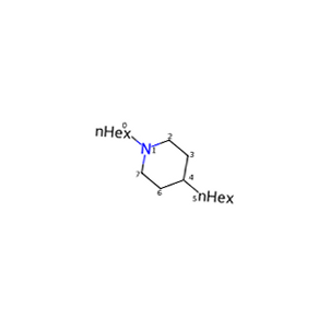 [CH2]CCCCCN1CCC(CCCCCC)CC1